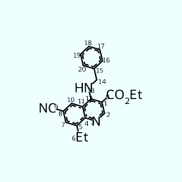 CCOC(=O)c1cnc2c(CC)cc(C#N)cc2c1NCc1ccccc1